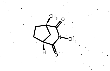 CN1C(=O)[C@@H]2CC[C@@](C)(C2)C1=O